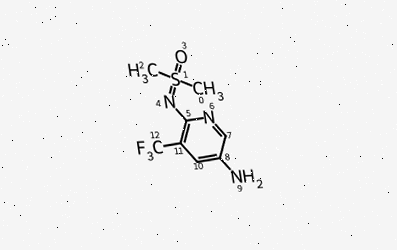 CS(C)(=O)=Nc1ncc(N)cc1C(F)(F)F